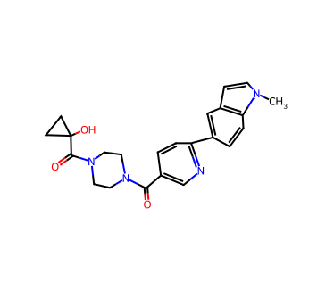 Cn1ccc2cc(-c3ccc(C(=O)N4CCN(C(=O)C5(O)CC5)CC4)cn3)ccc21